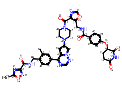 Cc1cc(-c2ncnn3cc(N4CCN(C(=O)c5ncoc5CNC(=O)c5ccc(OC6CCC(=O)NC6=O)cc5)CC4)cc23)ccc1CNC(=O)c1noc(C(C)(C)C)n1